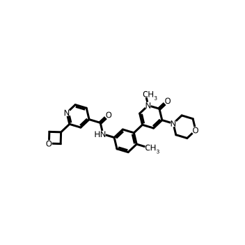 Cc1ccc(NC(=O)c2ccnc(C3COC3)c2)cc1-c1cc(N2CCOCC2)c(=O)n(C)c1